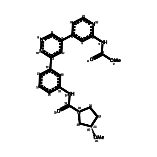 COC(=O)Nc1cc(-c2cnnc(-c3cccc(NC(=O)N4CC[C@H](OC)C4)c3)c2)ccn1